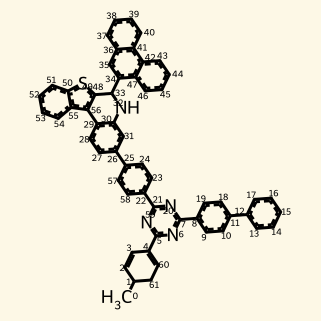 CC1C=CC(c2nc(-c3ccc(-c4ccccc4)cc3)nc(-c3ccc(-c4ccc5c(c4)NC(c4cc6ccccc6c6ccccc46)c4sc6ccccc6c4-5)cc3)n2)=CC1